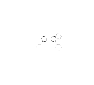 FC(F)CCc1ccnc(-c2cc(C3CCCCC3)c3ccccc3c2)c1